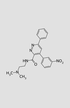 CN(C)CCNC(=O)c1nnc(-c2ccccc2)cc1-c1cccc([N+](=O)[O-])c1